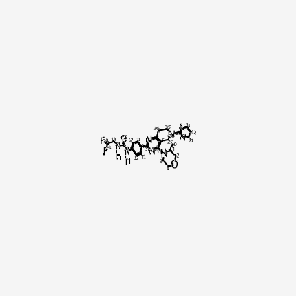 CC1COCCN1c1nc(-c2ccc(NC(=O)NCC(F)F)cc2)nc2c1CN(c1ncccn1)CC2